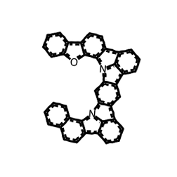 c1ccc2c(c1)ccc1c3cccc4c5cc6c7cccc8c9ccc%10c%11ccccc%11oc%10c9n(c6cc5n(c21)c43)c78